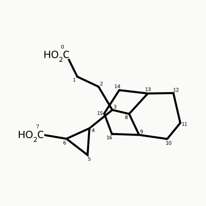 O=C(O)CCC(C1CC1C(=O)O)C1C2CCCC1CCC2